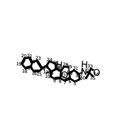 CC1(N[C@H]2CCC3=CC4=CC[C@]5(C)C(c6ccc7ccccc7c6)CC[C@H]5C45CC[C@]3(C2)O5)COC1